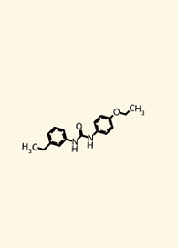 CCOc1ccc(NC(=O)Nc2cccc(CC)c2)cc1